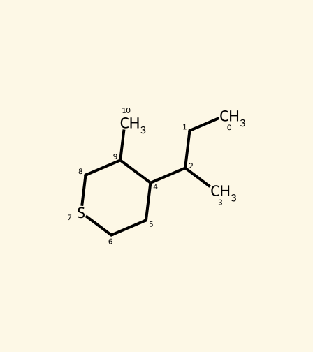 CCC(C)C1CCSCC1C